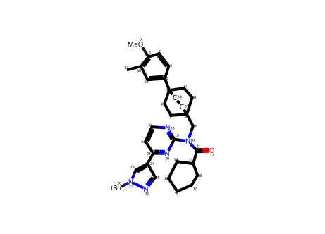 COc1ccc(C23CCC(CN(C(=O)C4CCCCC4)c4nccc(-c5cnn(C(C)(C)C)c5)n4)(CC2)CC3)cc1C